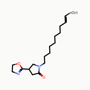 CCCCCCCC/C=C/CCCCCCCCN1CC(C2=NCCO2)CC1=O